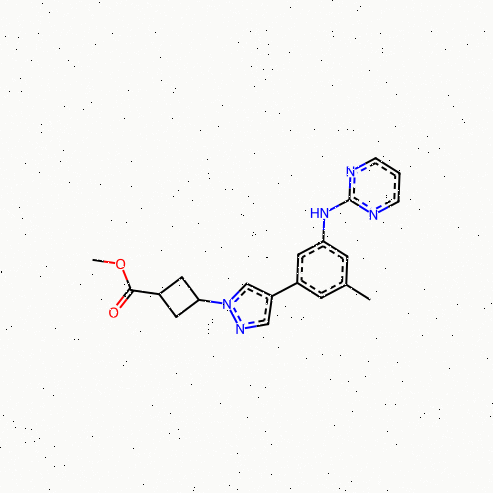 COC(=O)C1CC(n2cc(-c3cc(C)cc(Nc4ncccn4)c3)cn2)C1